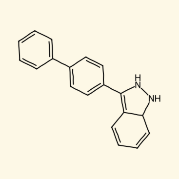 C1=CC2=C(c3ccc(-c4ccccc4)cc3)NNC2C=C1